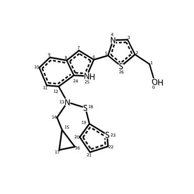 OCc1cnc(-c2cc3cccc(N(CC4CC4)Sc4cccs4)c3[nH]2)s1